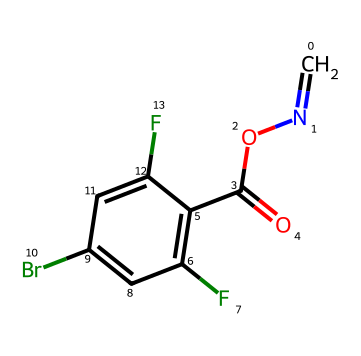 C=NOC(=O)c1c(F)cc(Br)cc1F